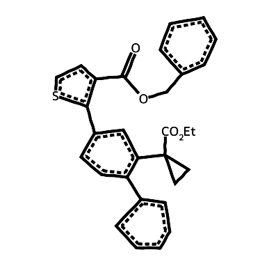 CCOC(=O)C1(c2cc(-c3sccc3C(=O)OCc3ccccc3)ccc2-c2ccccc2)CC1